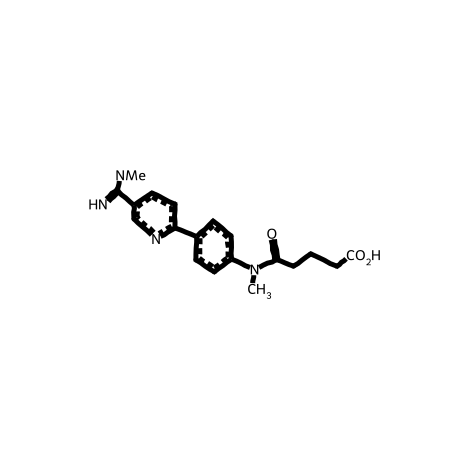 CNC(=N)c1ccc(-c2ccc(N(C)C(=O)CCCC(=O)O)cc2)nc1